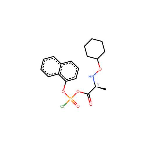 C[C@H](NOC1CCCCC1)C(=O)OP(=O)(Cl)Oc1cccc2ccccc12